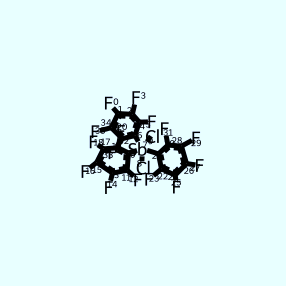 Fc1c(F)c(F)[c]([Sb]([Cl])([Cl])([c]2c(F)c(F)c(F)c(F)c2F)[c]2c(F)c(F)c(F)c(F)c2F)c(F)c1F